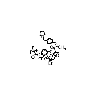 CCN(Cc1cc(C(=O)N(C)Cc2ccc(CN3CCCC3)cc2)co1)S(=O)(=O)c1c(Cl)cccc1Cl.O=C(O)C(F)(F)F